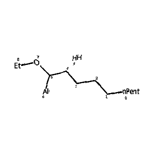 CCCCCCCCC[CH]([Al])OCC.[HH]